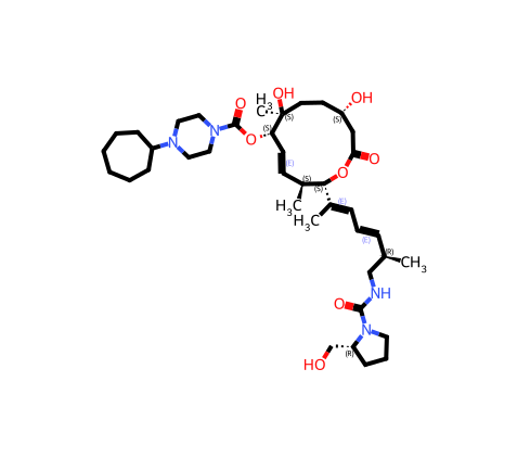 C/C(=C\C=C\[C@@H](C)CNC(=O)N1CCC[C@@H]1CO)[C@H]1OC(=O)C[C@@H](O)CC[C@](C)(O)[C@@H](OC(=O)N2CCN(C3CCCCCC3)CC2)/C=C/[C@@H]1C